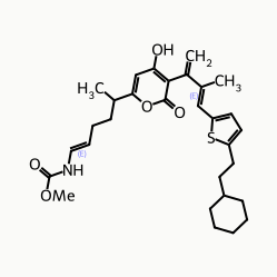 C=C(/C(C)=C/c1ccc(CCC2CCCCC2)s1)c1c(O)cc(C(C)CC/C=C/NC(=O)OC)oc1=O